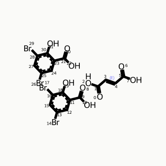 O=C(O)/C=C/C(=O)O.O=C(O)c1cc(Br)cc(Br)c1O.O=C(O)c1cc(Br)cc(Br)c1O